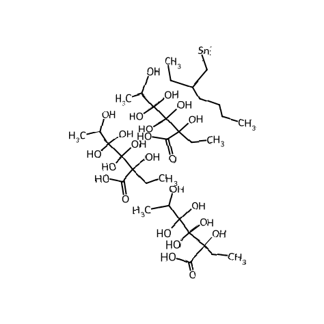 CCC(O)(C(=O)O)C(O)(O)C(O)(O)C(C)O.CCC(O)(C(=O)O)C(O)(O)C(O)(O)C(C)O.CCC(O)(C(=O)O)C(O)(O)C(O)(O)C(C)O.CCCCC(CC)[CH2][Sn]